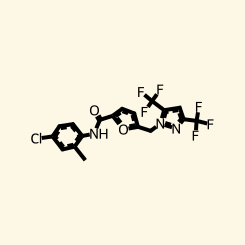 Cc1cc(Cl)ccc1NC(=O)c1ccc(Cn2nc(C(F)(F)F)cc2C(F)(F)F)o1